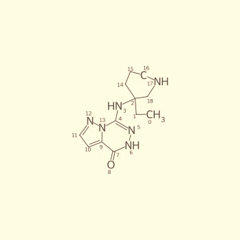 CCC1(Nc2n[nH]c(=O)c3ccnn23)CCCNC1